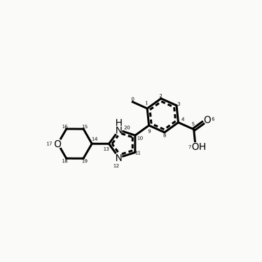 Cc1ccc(C(=O)O)cc1-c1cnc(C2CCOCC2)[nH]1